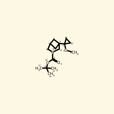 COC1(C23CC(CN(C(=O)OC(C)(C)C)C2)C3)CC1